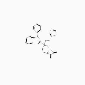 O=C1C(=O)N2CC(CSc3nncs3)(C(=O)OC(c3ccccc3)c3ccccc3)CS[C@H]12